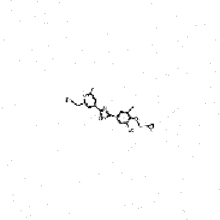 CCc1cc(-c2noc(-c3cc(C)nc(CC(C)C)c3)n2)cc(C)c1OCC1CO1